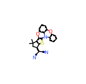 CC1(C)CC(=C(C#N)C#N)c2sc3c(c21)Oc1cccc2c1N3c1ccccc1O2